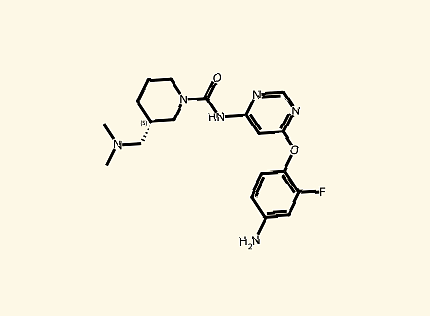 CN(C)C[C@@H]1CCCN(C(=O)Nc2cc(Oc3ccc(N)cc3F)ncn2)C1